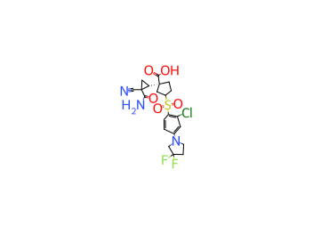 N#CC1(C(N)=O)CC1[C@]1(C(=O)O)CC[C@@H](S(=O)(=O)c2ccc(N3CCC(F)(F)C3)cc2Cl)C1